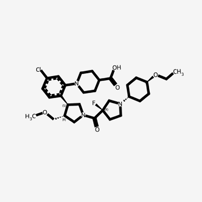 CCO[C@H]1CC[C@H](N2CC[C@](F)(C(=O)N3C[C@H](COC)[C@@H](c4ccc(Cl)cc4N4CCC(C(=O)O)CC4)C3)C2)CC1